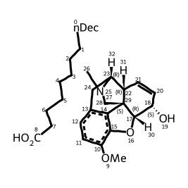 CCCCCCCCCCCCCCCCCC(=O)O.COc1ccc2c3c1O[C@H]1[C@@H](O)C=C[C@H]4[C@@H](C2)N(C)CC[C@@]341